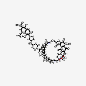 COc1c(N2CCC(NC3CCN(C(=O)O[C@H]4[C@H](C)[C@H](O)[C@H](C)[C@@H](O)[C@@H](C)/C=C/C=C(/C)C(=O)NC5=C(N6CCOCC6)C(=O)c6c(c(O)c(C)c7c6C(=O)[C@@](C)(O/C=C/[C@H](OC)[C@H]4C)O7)C5=O)CC3)C2)c(F)cc2c(=O)c(C(=O)O)cn(C3CC3)c12